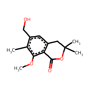 COc1c(C)c(CO)cc2c1C(=O)OC(C)(C)C2